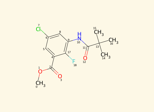 COC(=O)c1cc(Cl)cc(NC(=O)C(C)(C)C)c1F